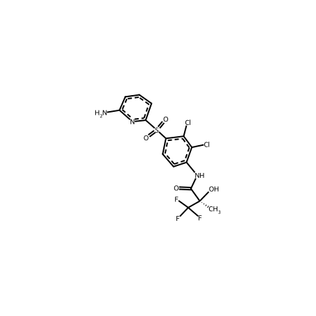 C[C@@](O)(C(=O)Nc1ccc(S(=O)(=O)c2cccc(N)n2)c(Cl)c1Cl)C(F)(F)F